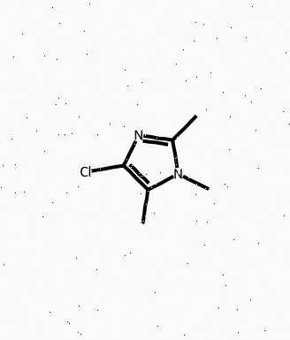 Cc1nc(Cl)c(C)n1C